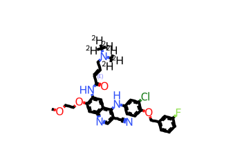 [2H]C([2H])([2H])N(C/C=C/C(=O)Nc1cc2c(Nc3ccc(OCc4cccc(F)c4)c(Cl)c3)c(C#N)cnc2cc1OCCOC)C([2H])([2H])[2H]